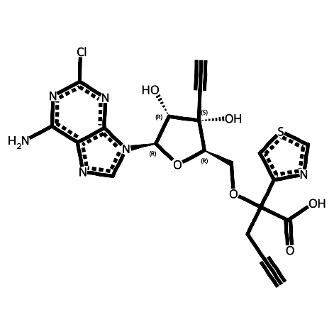 C#CCC(OC[C@H]1O[C@@H](n2cnc3c(N)nc(Cl)nc32)[C@H](O)[C@@]1(O)C#C)(C(=O)O)c1cscn1